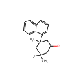 CC1(C)CC(=O)CC(C)(c2cccc3ccccc23)C1